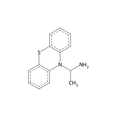 CC(N)N1c2ccccc2Sc2ccccc21